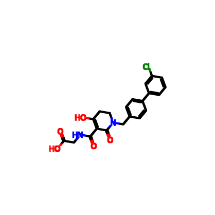 O=C(O)CNC(=O)C1=C(O)CCN(Cc2ccc(-c3cccc(Cl)c3)cc2)C1=O